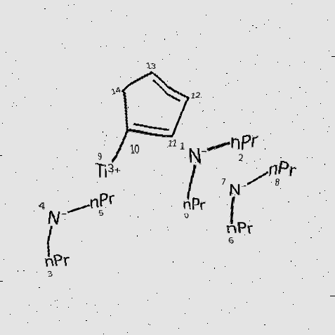 CCC[N-]CCC.CCC[N-]CCC.CCC[N-]CCC.[Ti+3][C]1=CC=CC1